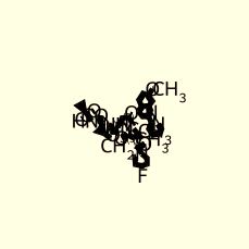 C=CC1C[C@]1(NC(=O)[C@@H]1C[C@@H](Oc2cc(-c3ccccn3)nc3cc(OC)ccc23)CN1C(=O)[C@@H](CC(=O)N1CCC(F)CC1)C(C)(C)C)C(=O)NS(=O)(=O)C1CC1